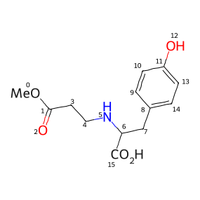 COC(=O)CCNC(Cc1ccc(O)cc1)C(=O)O